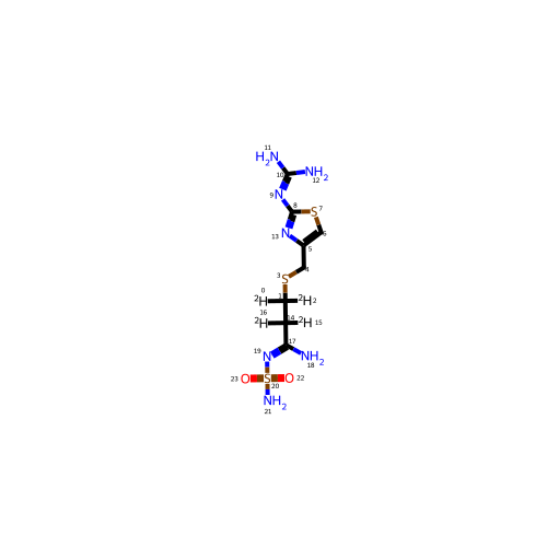 [2H]C([2H])(SCc1csc(N=C(N)N)n1)C([2H])([2H])/C(N)=N/S(N)(=O)=O